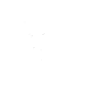 CCc1cc(OC)c(Oc2cccc(F)n2)cc1F